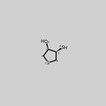 O[C@@H]1CSC[C@@H]1S